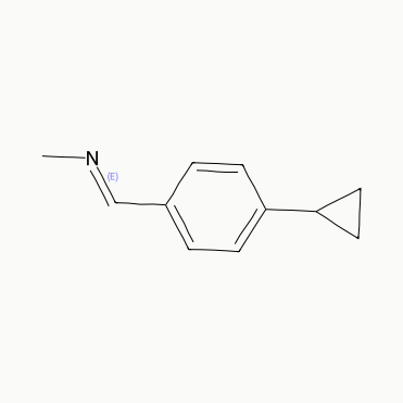 C/N=C/c1ccc(C2CC2)cc1